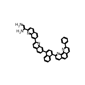 N/C=C(\N)c1ccc2ccc(-c3ccc4ccc(-c5ccc(-c6ccc7ccc8ccc(-c9ccccc9)nc8c7n6)c6ccccc56)cc4n3)cc2n1